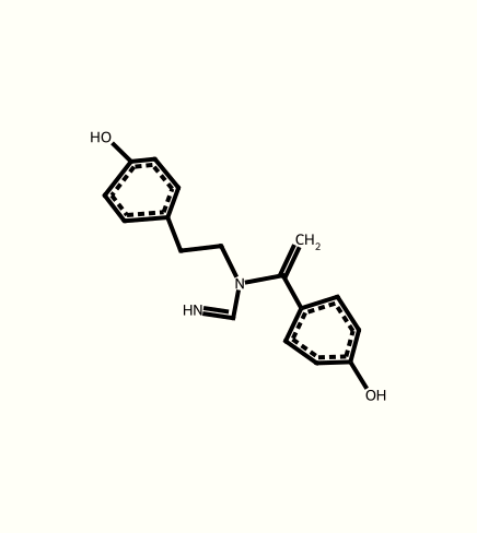 C=C(c1ccc(O)cc1)N(C=N)CCc1ccc(O)cc1